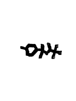 Cc1ccc(S(=O)(=O)OC(=O)C(Cl)(Cl)Cl)cc1